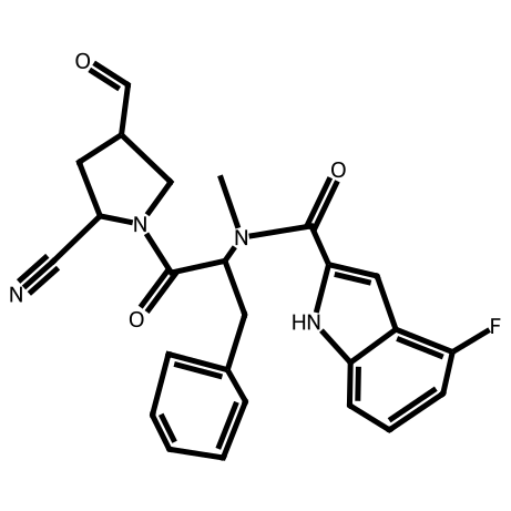 CN(C(=O)c1cc2c(F)cccc2[nH]1)C(Cc1ccccc1)C(=O)N1CC(C=O)CC1C#N